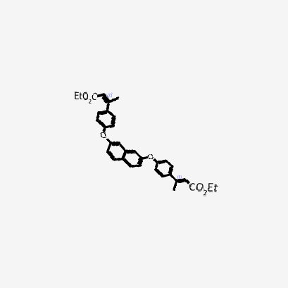 CCOC(=O)/C=C(/C)c1ccc(Oc2ccc3ccc(Oc4ccc(/C(C)=C/C(=O)OCC)cc4)cc3c2)cc1